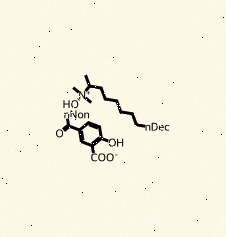 CCCCCCCCCC(=O)c1ccc(O)c(C(=O)[O-])c1.CCCCCCCCCCCCCCCCC(C)[N+](C)(C)O